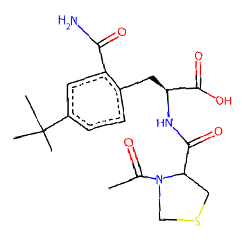 CC(=O)N1CSCC1C(=O)N[C@@H](Cc1ccc(C(C)(C)C)cc1C(N)=O)C(=O)O